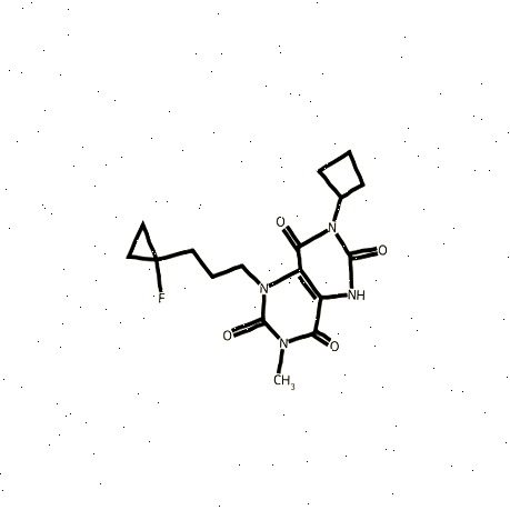 Cn1c(=O)c2[nH]c(=O)n(C3CCC3)c(=O)c2n(CCCC2(F)CC2)c1=O